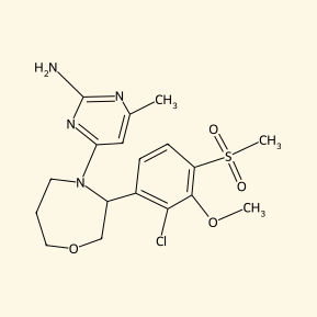 COc1c(S(C)(=O)=O)ccc(C2COCCCN2c2cc(C)nc(N)n2)c1Cl